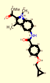 COC(=O)c1c(C)c2cc(NC(=O)c3ccc(OCC4CC4)cc3)ccc2n1C